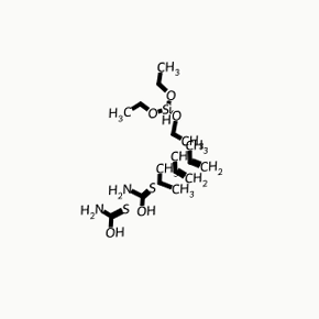 C=CC.C=CC.CCC.CCO[SiH](OCC)OCC.NC(O)=S.NC(O)=S